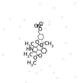 CCOC(=O)C1=C(C)NC(C)=C(C(=O)OCC)C1c1ccccc1OC[C@H]1CC[C@H](CO[N+](=O)[O-])CC1